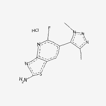 Cc1nnn(C)c1-c1cc2sc(N)nc2nc1F.Cl